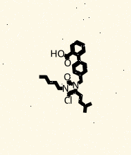 CCCCCn1c(Cl)c(CCC(C)C)n(Cc2ccc(-c3ccccc3C(=O)O)cc2)c1=O